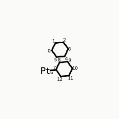 C1CCCCC1.[Pt][CH]1CCCCC1